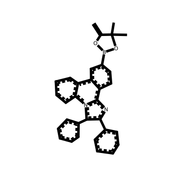 C=C1OB(c2ccc3c(c2)c2ccccc2n2c(-c4ccccc4)c(-c4ccccc4)nc32)OC1(C)C